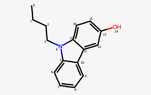 CCCCn1c2ccccc2c2cc(O)ccc21